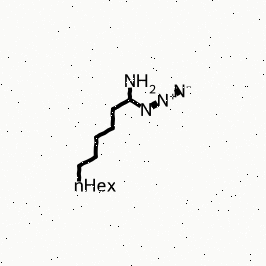 CCCCCCCCCCCC(N)N=[N+]=[N-]